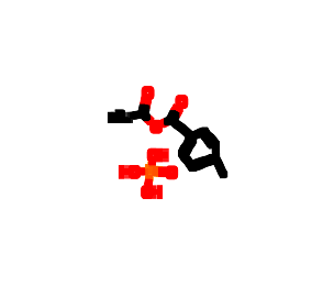 CCCCC(=O)OC(=O)c1ccc(C)cc1.O=P(O)(O)O